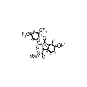 Cc1c(O)ccc2c1C(=O)N(Cc1cc(C(F)(F)F)cc(C(F)(F)F)c1)C2C(=O)NC(C)(C)C